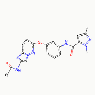 CCC(=O)Nc1cn2nc(Oc3cccc(NC(=O)c4cc(C)nn4C)c3)ccc2n1